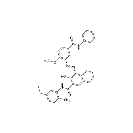 COc1ccc(C(=O)Nc2ccccc2)cc1N=Nc1c(O)c(C(=O)Nc2cc(CI)ccc2C)cc2ccccc12